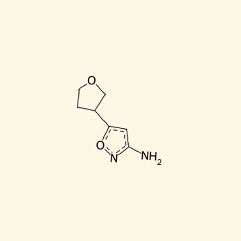 Nc1cc(C2CCOC2)on1